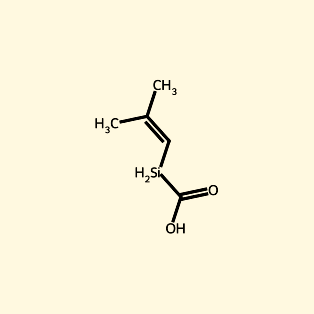 CC(C)=C[SiH2]C(=O)O